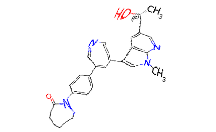 C[C@@H](O)c1cnc2c(c1)c(-c1cncc(-c3ccc(N4CCCC4=O)cc3)c1)cn2C